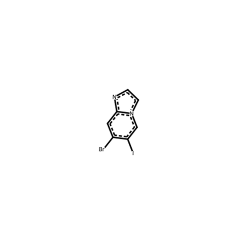 Brc1cc2nccn2cc1I